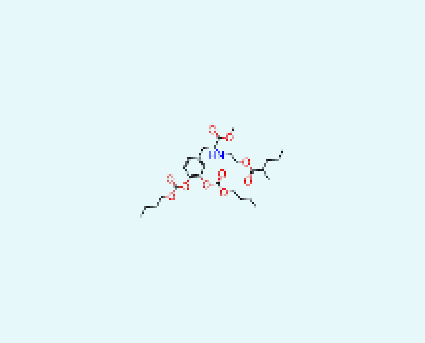 CCCCOC(=O)Oc1ccc(C[C@H](NCCOC(=O)C(C)CCC)C(=O)OC)cc1OC(=O)OCCCC